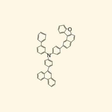 c1ccc(-c2cccc(N(c3ccc(-c4ccc5ccc6oc7ccccc7c6c5c4)cc3)c3ccc(-c4cc5ccccc5c5ccccc45)cc3)c2)cc1